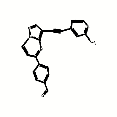 Nc1cc(C#Cc2cnn3ccc(-c4ccc(C=O)cc4)nc23)ccn1